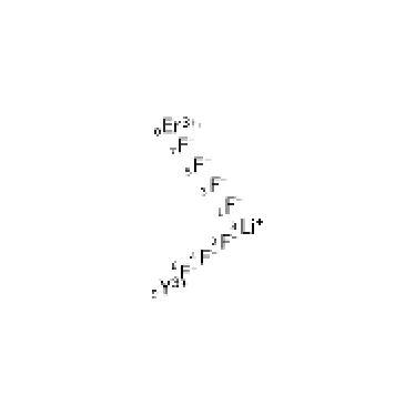 [Er+3].[F-].[F-].[F-].[F-].[F-].[F-].[F-].[Li+].[Y+3]